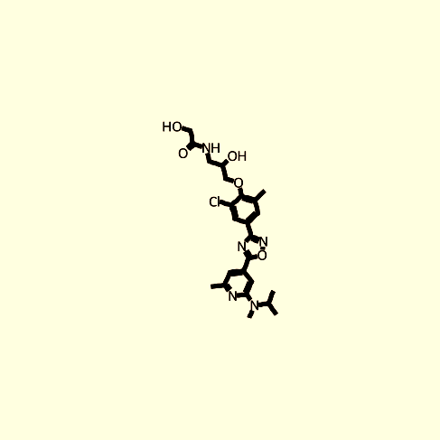 Cc1cc(-c2nc(-c3cc(C)c(OCC(O)CNC(=O)CO)c(Cl)c3)no2)cc(N(C)C(C)C)n1